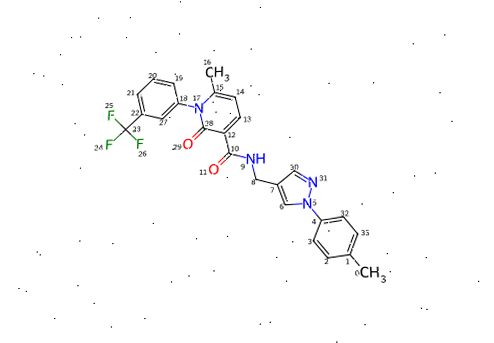 Cc1ccc(-n2cc(CNC(=O)c3ccc(C)n(-c4cccc(C(F)(F)F)c4)c3=O)cn2)cc1